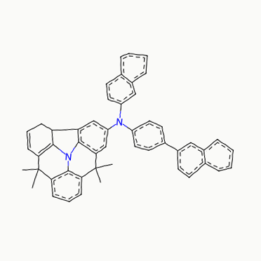 CC1(C)C2=C3C(CC=C2)c2cc(N(c4ccc(-c5ccc6ccccc6c5)cc4)c4ccc5ccccc5c4)cc4c2N3c2c1cccc2C4(C)C